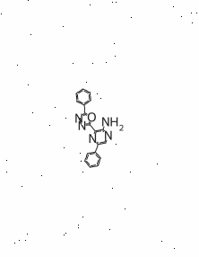 Nc1ncc(-c2c[c]ccc2)nc1-c1nnc(-c2ccccc2)o1